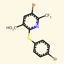 O=C(O)c1cc(Br)c(C(F)(F)F)nc1Sc1ccc(Br)cc1